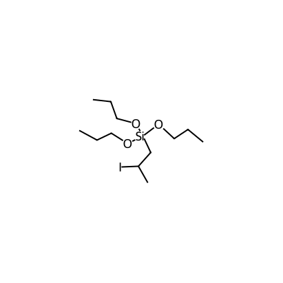 CCCO[Si](CC(C)I)(OCCC)OCCC